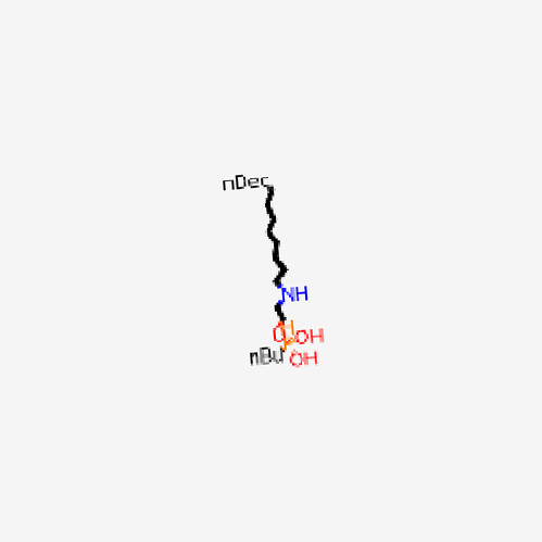 CCCCCCCCCCCCCCCCCCNCCO[PH](O)(O)CCCC